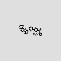 C[C@H]1CCCN1[S+]([O-])c1ccc(-c2cccc(NC(=O)C3(c4ccc5c(c4)OCCO5)CC3)n2)cc1